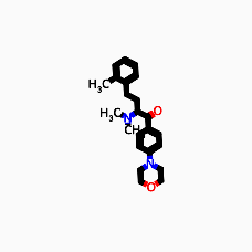 Cc1ccccc1CCC(C(=O)c1ccc(N2CCOCC2)cc1)N(C)C